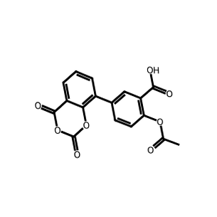 CC(=O)Oc1ccc(-c2cccc3c(=O)oc(=O)oc23)cc1C(=O)O